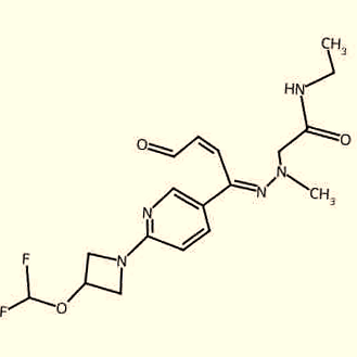 CCNC(=O)CN(C)/N=C(\C=C/C=O)c1ccc(N2CC(OC(F)F)C2)nc1